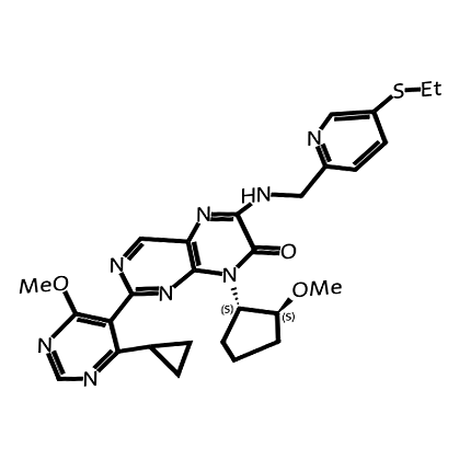 CCSc1ccc(CNc2nc3cnc(-c4c(OC)ncnc4C4CC4)nc3n([C@H]3CCC[C@@H]3OC)c2=O)nc1